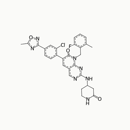 Cc1nc(-c2ccc(-c3cc4cnc(NC5CCNC(=O)C5)nc4n(Cc4c(C)cccc4F)c3=O)c(Cl)c2)no1